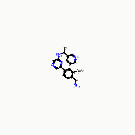 CCC(Nc1cncc(-c2ccc(CN)c(OC)c2)n1)c1cccnc1